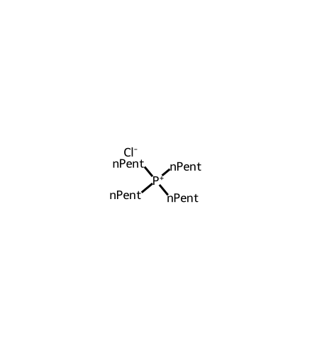 CCCCC[P+](CCCCC)(CCCCC)CCCCC.[Cl-]